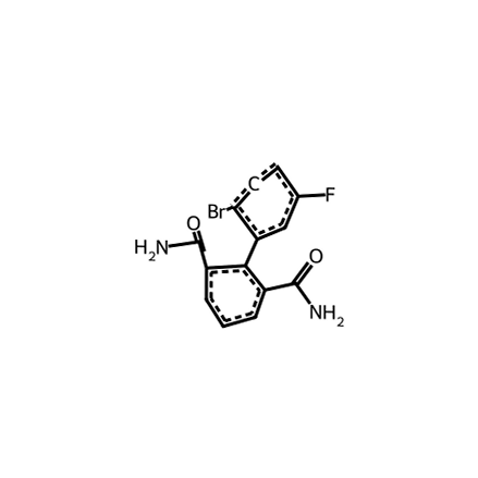 NC(=O)c1cccc(C(N)=O)c1-c1cc(F)ccc1Br